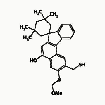 COCSc1cc2c(O)cc3c(c2cc1CS)-c1ccccc1C31CC(C)(C)CC(C)(C)C1